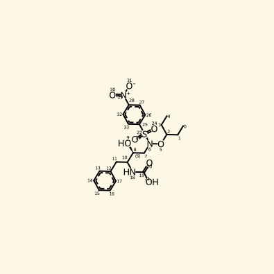 CCC(CC)ON(C[C@H](O)C(Cc1ccccc1)NC(=O)O)S(=O)(=O)c1ccc([N+](=O)[O-])cc1